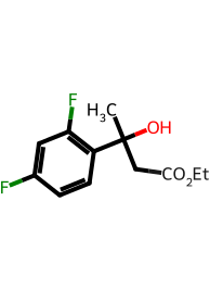 CCOC(=O)CC(C)(O)c1ccc(F)cc1F